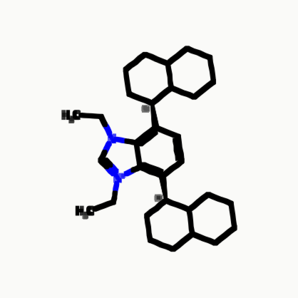 CCn1c[n+](CC)c2c([C@@H]3CCCC4CCCCC43)ccc([C@H]3CCCC4CCCCC43)c21